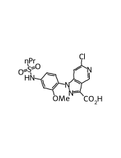 CCCS(=O)(=O)Nc1ccc(-n2nc(C(=O)O)c3cnc(Cl)cc32)c(OC)c1